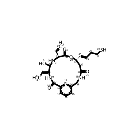 C=C[C@@H]1NC(O)/C(=C/C)NC(=O)c2cccc(n2)CNC(=O)C[C@@H](/C=C/CCS)OC1=O